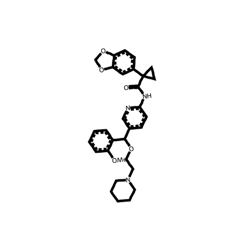 COc1ccccc1C(OCCN1CCCCC1)c1ccc(NC(=O)C2(c3ccc4c(c3)OCO4)CC2)nc1